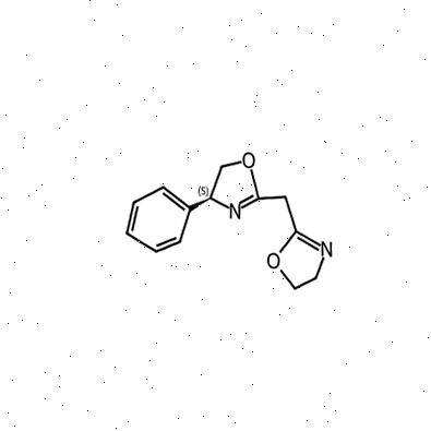 c1ccc([C@H]2COC(CC3=NCCO3)=N2)cc1